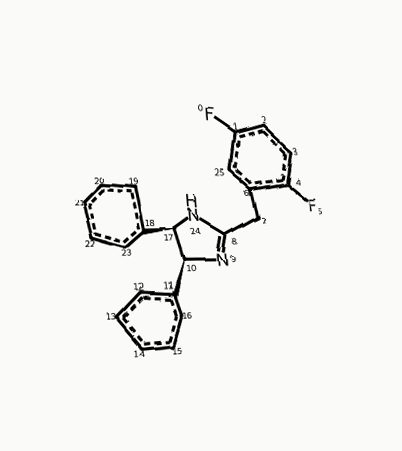 Fc1ccc(F)c(CC2=N[C@@H](c3ccccc3)[C@@H](c3ccccc3)N2)c1